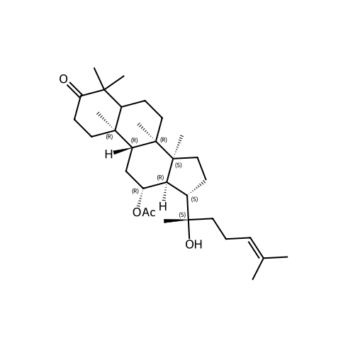 CC(=O)O[C@@H]1C[C@@H]2[C@@]3(C)CCC(=O)C(C)(C)C3CC[C@@]2(C)[C@@]2(C)CC[C@H]([C@@](C)(O)CCC=C(C)C)[C@@H]12